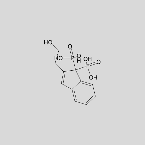 O=P(O)(O)C1(P(=O)(O)O)C(CCO)=Cc2ccccc21